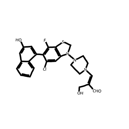 O=CC(=CN1CCN(N2CSc3c2cc(Cl)c(-c2cc(O)cc4ccccc24)c3F)CC1)CO